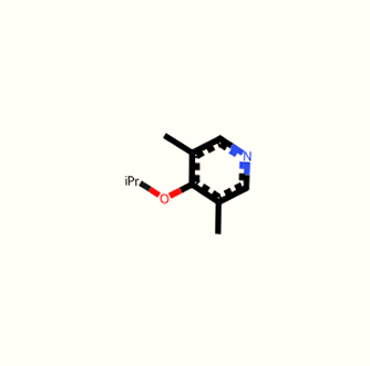 Cc1[c]ncc(C)c1OC(C)C